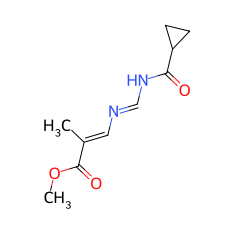 COC(=O)/C(C)=C/N=C/NC(=O)C1CC1